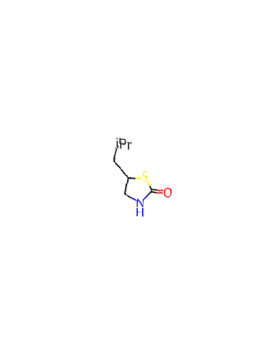 CC(C)CC1CNC(=O)S1